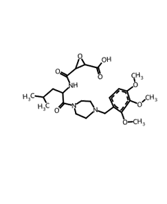 COc1ccc(CN2CCN(C(=O)C(CC(C)C)NC(=O)C3OC3C(=O)O)CC2)c(OC)c1OC